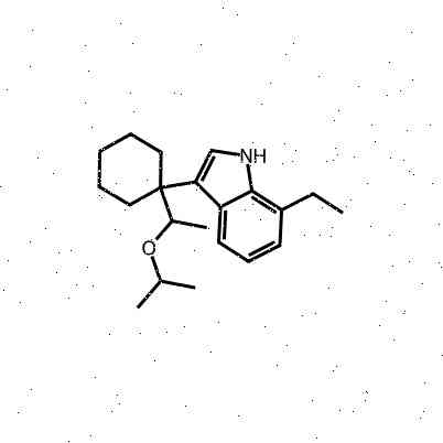 CCc1cccc2c(C3(C(C)OC(C)C)CCCCC3)c[nH]c12